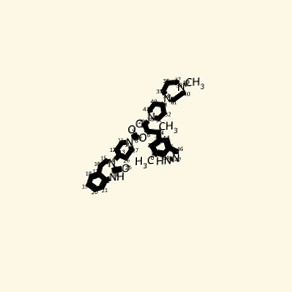 Cc1cc([C@@H](C)C(OC(=O)N2CCC(N3CCc4ccccc4NC3=O)CC2)C(=O)N2CCC(N3CCCN(C)CC3)CC2)cc2cn[nH]c12